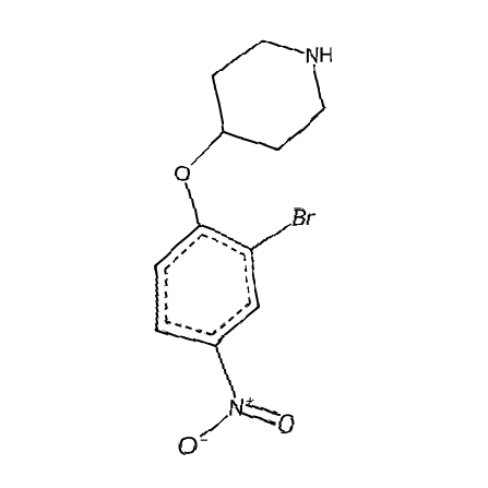 O=[N+]([O-])c1ccc(OC2CCNCC2)c(Br)c1